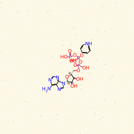 C1=CC=CNC=C1.Nc1ncnc2c1ncn2[C@@H]1O[C@H](COP(=O)(O)OP(=O)(O)OP(=O)(O)O)[C@@H](O)[C@H]1O